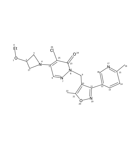 CCOC1CN(c2cnn(Cc3c(-c4ccc(C)nc4)noc3C)c(=O)c2Cl)C1